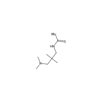 CN(C)CC(C)(C)CNC(=S)C(C)(C)C